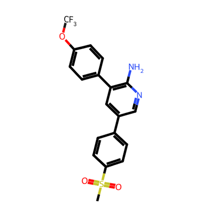 CS(=O)(=O)c1ccc(-c2cnc(N)c(-c3ccc(OC(F)(F)F)cc3)c2)cc1